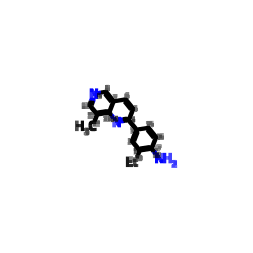 CCc1cc(-c2ccc3cncc(C)c3n2)ccc1N